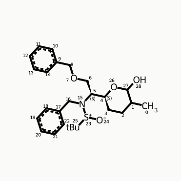 CC1CC[C@@H]([C@H](COCc2ccccc2)N(Cc2ccccc2)[S+]([O-])C(C)(C)C)OC1O